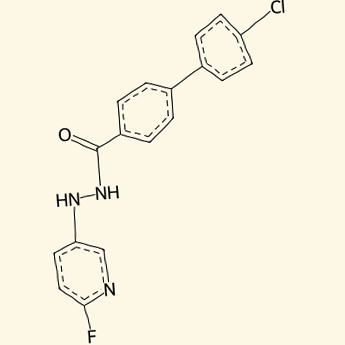 O=C(NNc1ccc(F)nc1)c1ccc(-c2ccc(Cl)cc2)cc1